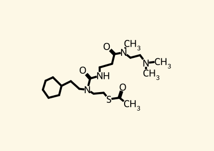 CC(=O)SCCN(CCC1CCCCC1)C(=O)NCCC(=O)N(C)CCN(C)C